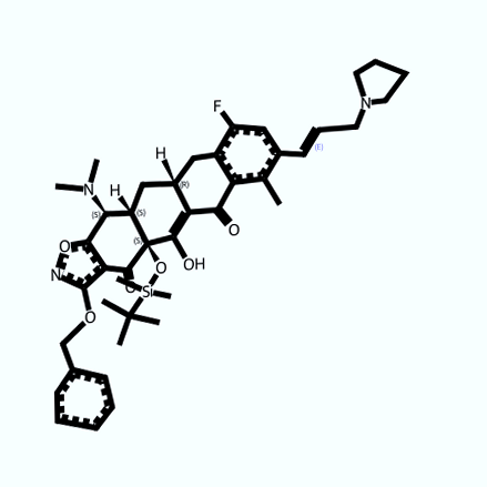 Cc1c(/C=C/CN2CCCC2)cc(F)c2c1C(=O)C1=C(O)[C@]3(O[Si](C)(C)C(C)(C)C)C(=O)c4c(OCc5ccccc5)noc4[C@@H](N(C)C)[C@@H]3C[C@@H]1C2